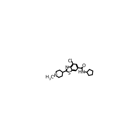 CN1CCC(c2nc3c(Cl)cc(C(=O)NC4CCCC4)cc3s2)CC1